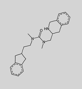 CN(CCC1Cc2ccccc2C1)C(=O)N(C)CC1Cc2ccccc2CN1